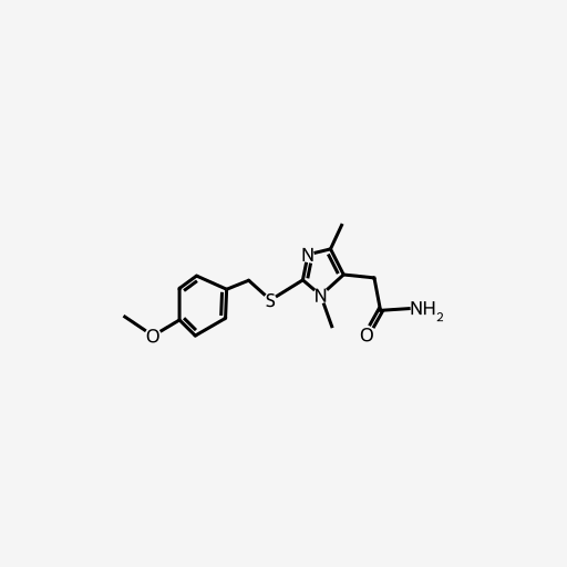 COc1ccc(CSc2nc(C)c(CC(N)=O)n2C)cc1